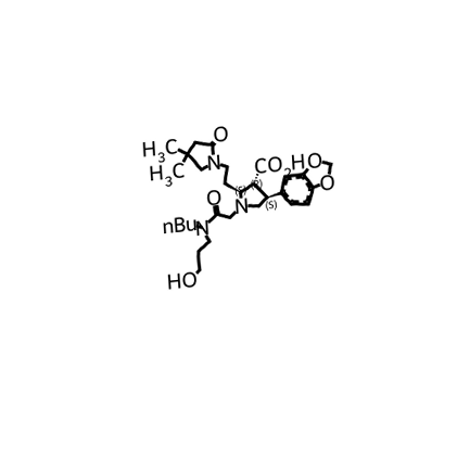 CCCCN(CCCO)C(=O)CN1C[C@H](c2ccc3c(c2)OCO3)[C@@H](C(=O)O)[C@@H]1CCN1CC(C)(C)CC1=O